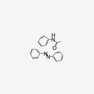 CC(=O)Nc1ccccc1.c1ccc(N=Nc2ccccc2)cc1